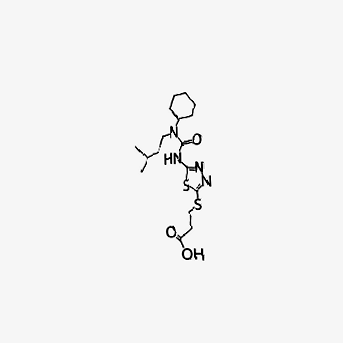 CC(C)CCN(C(=O)Nc1nnc(SCCC(=O)O)s1)C1CCCCC1